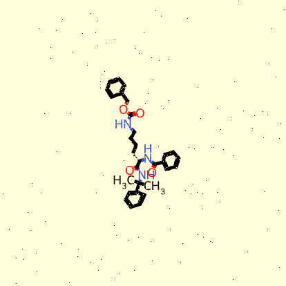 CC(C)(NC(=O)[C@H](CCCCNC(=O)OCc1ccccc1)NC(=O)c1ccccc1)c1ccccc1